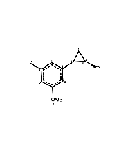 COc1cc(C)cc(C2C[C@H]2C)c1